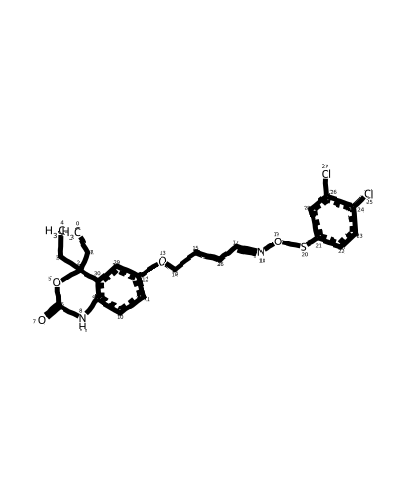 CCC1(CC)OC(=O)Nc2ccc(OCCCC=NOSc3ccc(Cl)c(Cl)c3)cc21